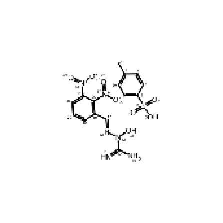 Cc1ccc(S(=O)(=O)O)cc1.N=C(N)N(O)N=Cc1cccc([N+](=O)[O-])c1[N+](=O)[O-]